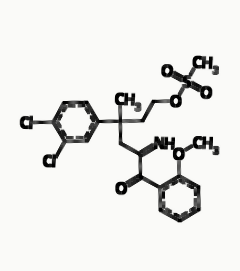 COc1ccccc1C(=O)C(=N)CC(C)(CCOS(C)(=O)=O)c1ccc(Cl)c(Cl)c1